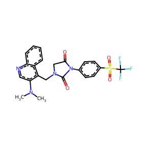 CN(C)c1cnc2ccccc2c1CN1CC(=O)N(c2ccc(S(=O)(=O)C(F)(F)F)cc2)C1=O